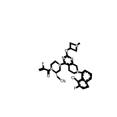 C=C(F)C(=O)N1CCN(c2nc(OC3CN(C)C3)nc3c2CCN(c2cccc4ccc(F)c(Cl)c24)C3)C[C@@H]1CC#N